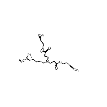 C#CCCOC(=O)CCN(CCCCCN(C)C)CCC(=O)OCCC#C